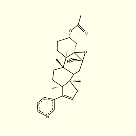 CC(=O)O[C@H]1CC[C@@]2(C)[C@@]3(C1)O[C@]3(C#N)CC1[C@]2(C)CC[C@]2(C)C(c3cccnc3)=CC[C@@]12C